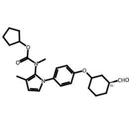 Cc1ccn(-c2ccc(OC3CCC[C@H](C=O)C3)cc2)c1N(C)C(=O)OC1CCCC1